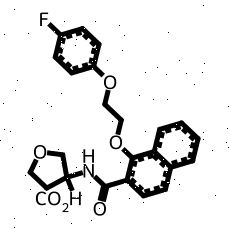 O=C(NC1(C(=O)O)CCOC1)c1ccc2ccccc2c1OCCOc1ccc(F)cc1